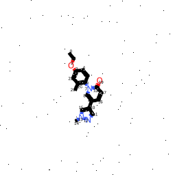 CCOc1ccc(-n2cc(-c3cnn(C)c3)ccc2=O)c(C)c1